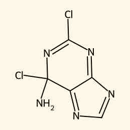 NC1(Cl)N=C(Cl)N=C2N=CN=C21